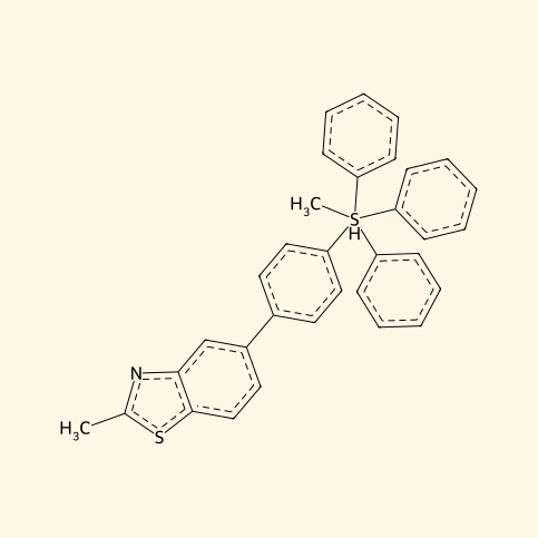 Cc1nc2cc(-c3ccc([SH](C)(c4ccccc4)(c4ccccc4)c4ccccc4)cc3)ccc2s1